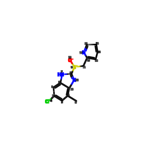 Cc1cc(Cl)cc2[nH]c([S+]([O-])Cc3ccccn3)nc12